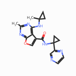 Cc1nc(NC2(C)CC2)c2c(C(=O)NC3(c4cnccn4)CC3)coc2n1